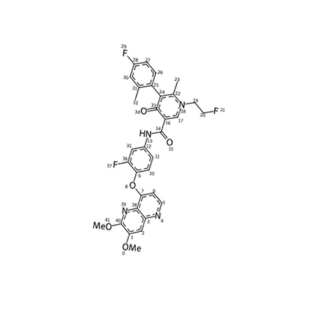 COc1cc2nccc(Oc3ccc(NC(=O)c4cn(CCF)c(C)c(-c5ccc(F)cc5C)c4=O)cc3F)c2nc1OC